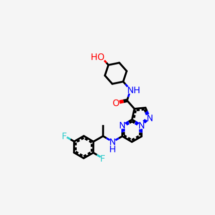 CC(Nc1ccn2ncc(C(=O)NC3CCC(O)CC3)c2n1)c1cc(F)ccc1F